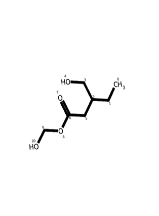 CCC(CO)CC(=O)OCO